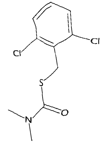 CN(C)C(=O)SCc1c(Cl)cccc1Cl